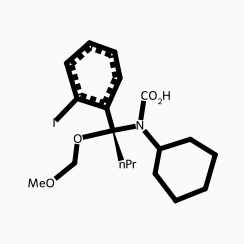 CCC[C@@](OCOC)(c1ccccc1I)N(C(=O)O)C1CCCCC1